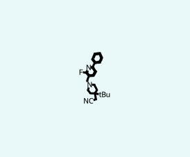 CC(C)(C)C1(CC#N)CCN(Cc2ccc(-c3ccccc3)nc2F)CC1